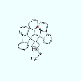 CCCC1(C(c2ccccc2)C2(CCC(=O)OC)c3ccccc3-c3ccccc32)c2ccccc2-c2ccccc21